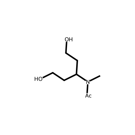 CC(=O)N(C)C(CCO)CCO